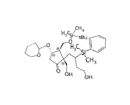 CC(C)(C)[Si](C)(C)OC[C@@H]1[C@@H](OC2CCCCO2)CC(=O)[C@@]1(CO)CC(CCO)[Si](C)(C)c1ccccc1